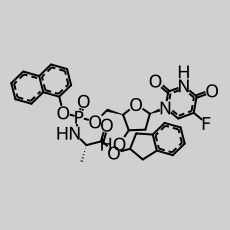 C[C@H](NP(=O)(OC[C@H]1O[C@@H](n2cc(F)c(=O)[nH]c2=O)CC1O)Oc1cccc2ccccc12)C(=O)OC1Cc2ccccc2C1